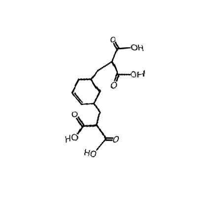 O=C(O)C(CC1C=CCC(CC(C(=O)O)C(=O)O)C1)C(=O)O